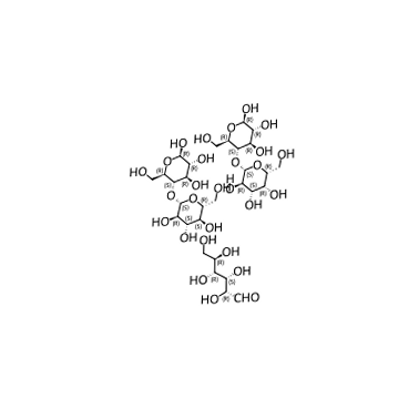 O=C[C@H](O)[C@@H](O)[C@H](O)[C@H](O)CO.OC[C@H]1O[C@@H](O[C@H]2[C@H](O)[C@@H](O)[C@H](O)O[C@@H]2CO)[C@H](O)[C@@H](O)[C@@H]1O.OC[C@H]1O[C@@H](O[C@H]2[C@H](O)[C@@H](O)[C@H](O)O[C@@H]2CO)[C@H](O)[C@@H](O)[C@H]1O